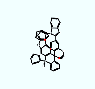 O=P1(c2ccccc2)c2ccccc2C2(c3ccccc3Oc3cc(-c4nc5ccccc5n4-c4ccccc4)ccc32)c2cc3c(cc21)oc1ccccc13